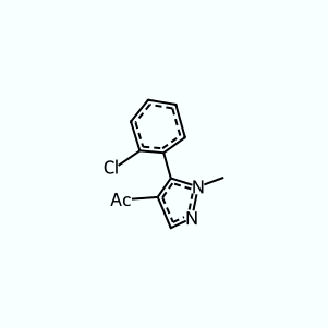 CC(=O)c1cnn(C)c1-c1ccccc1Cl